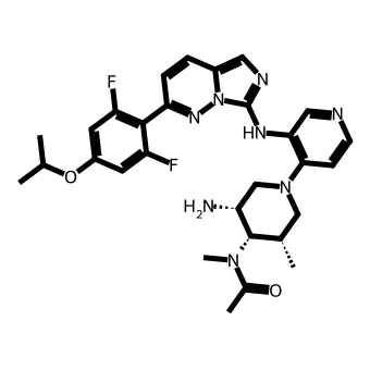 CC(=O)N(C)[C@@H]1[C@H](N)CN(c2ccncc2Nc2ncc3ccc(-c4c(F)cc(OC(C)C)cc4F)nn23)C[C@@H]1C